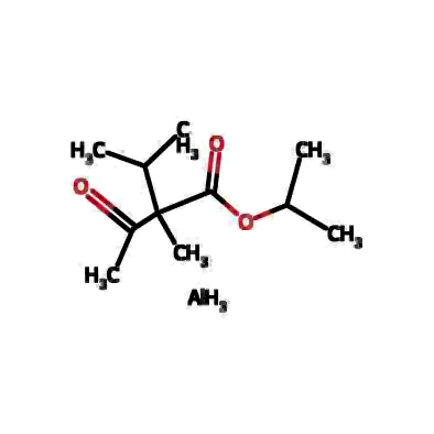 CC(=O)C(C)(C(=O)OC(C)C)C(C)C.[AlH3]